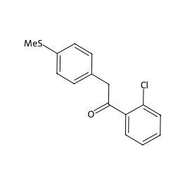 CSc1ccc(CC(=O)c2ccccc2Cl)cc1